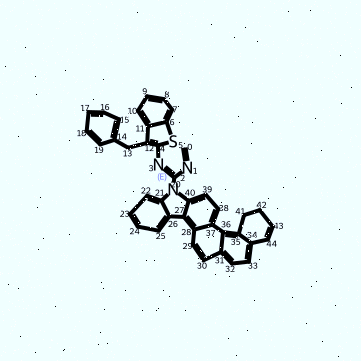 C=N/C(=N\c1sc2ccccc2c1Cc1ccccc1)n1c2ccccc2c2c3ccc4ccc5c(c4c3ccc21)CCC=C5